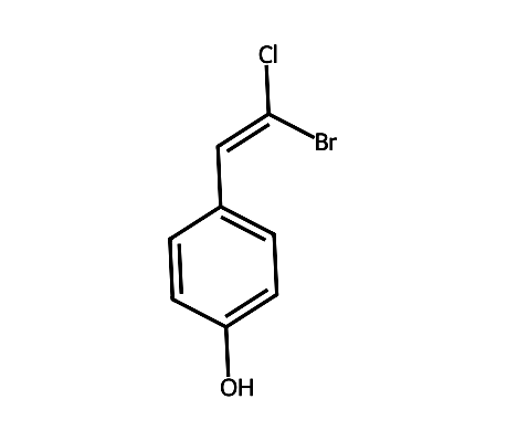 Oc1ccc(C=C(Cl)Br)cc1